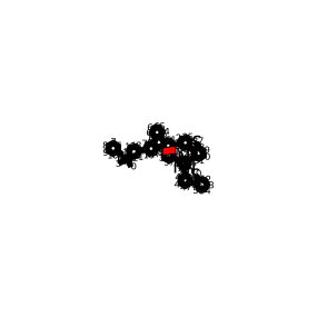 Cc1c(C)n(-c2ccccc2)c2ccc(-c3ccc4c5ccc(-c6ccc7sc8cccc(-c9nc(-c%10ccccc%10)nc(-c%10cccc%11c%10sc%10ccccc%10%11)n9)c8c7c6)cc5c5ccccc5c4c3)cc12